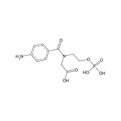 Nc1ccc(C(=O)N(CCOP(=O)(O)O)CC(=O)O)cc1